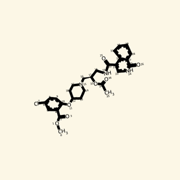 COC(=O)c1cc(Cl)ccc1OC1CCN(C[C@@H](CNC(=O)c2c[nH]c(=O)c3ccccc23)OC(C)=O)CC1